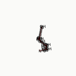 C=C(C)[C@@H](C)CCCCNC(=O)CC[C@H](NC(=O)CC[C@H](NC(=O)COCCOCCNC(=O)CC[C@H](NC(=O)CCCCCCCCCCCCCCCCC(=O)O)C(=O)O)C(=O)O)C(=O)O